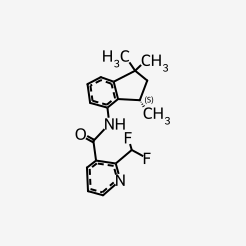 C[C@H]1CC(C)(C)c2cccc(NC(=O)c3cccnc3C(F)F)c21